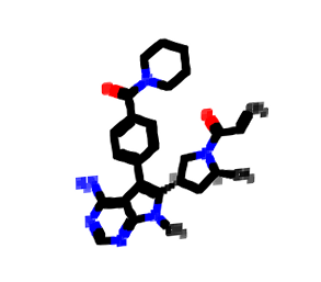 C=CC(=O)N1C[C@@H](c2c(-c3ccc(C(=O)N4CCCCC4)cc3)c3c(N)ncnc3n2C)C[C@@H]1C